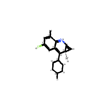 Cc1cc(F)cc2c1=NC1=C[C@H]1C=2C1CCC(C)CC1